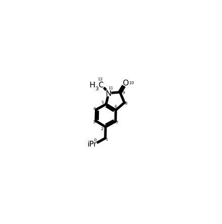 CC(C)Cc1ccc2c(c1)CC(=O)N2C